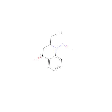 CCC1CC(=O)c2ccccc2N1N=O